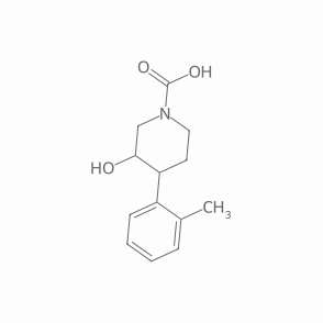 Cc1ccccc1C1CCN(C(=O)O)CC1O